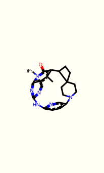 Cc1c2c(=O)n(C(C)C)c3nc(ncc13)Nc1ccc(cn1)N1CCC3(CCC23)CC1